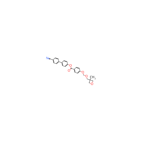 CC1(COCOc2ccc(C(=O)Oc3ccc(-c4ccc(C#N)cc4)cc3)cc2)COC1